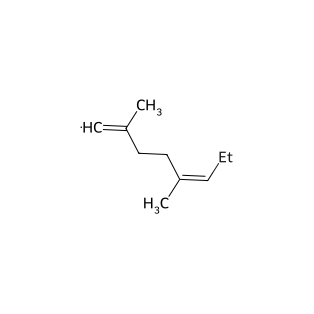 [CH]=C(C)CCC(C)=CCC